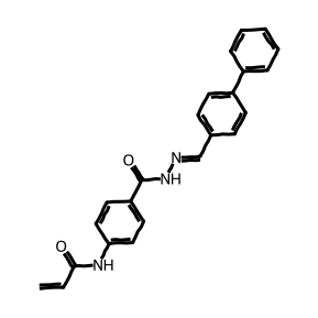 C=CC(=O)Nc1ccc(C(=O)N/N=C/c2ccc(-c3ccccc3)cc2)cc1